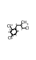 CC(CCl)Cc1ccc(Cl)cc1Cl